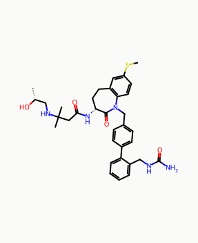 CSc1ccc2c(c1)CC[C@@H](NC(=O)CC(C)(C)NC[C@@H](C)O)C(=O)N2Cc1ccc(-c2ccccc2CNC(N)=O)cc1